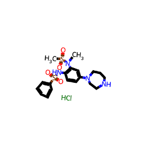 CN(c1cc(N2CCCNCC2)ccc1NS(=O)(=O)c1ccccc1)S(C)(=O)=O.Cl